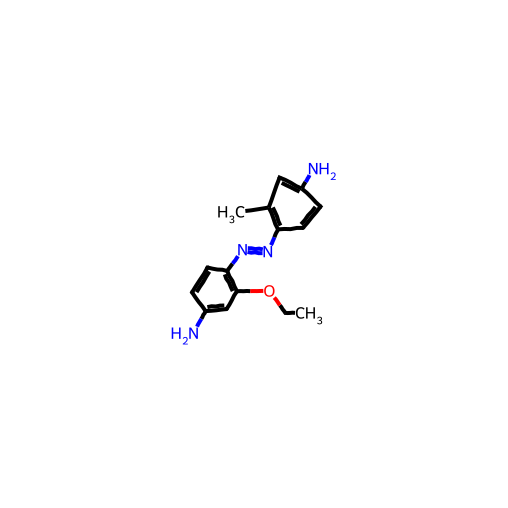 CCOc1cc(N)ccc1N=Nc1ccc(N)cc1C